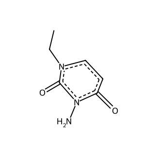 CCn1ccc(=O)n(N)c1=O